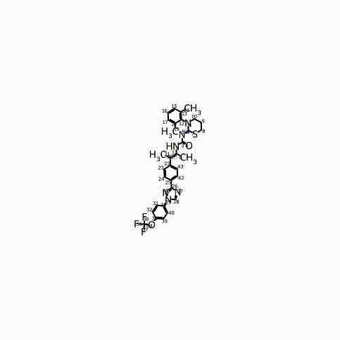 C/C(NC(=O)/N=C1\SCCCN1c1c(C)cccc1C)=C(/C)c1ccc(-c2ncn(-c3ccc(OC(F)(F)F)cc3)n2)cc1